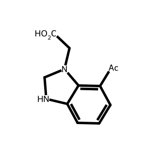 CC(=O)c1cccc2c1N(CC(=O)O)CN2